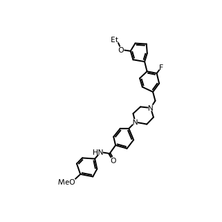 CCOc1cccc(-c2ccc(CN3CCN(c4ccc(C(=O)Nc5ccc(OC)cc5)cc4)CC3)cc2F)c1